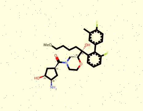 COCCCC[C@@](O)(c1cccc(F)c1-c1ccc(F)c(C)c1)[C@H]1CN(C(=O)[C@H]2C[C@@H](N)[C@@H](O)C2)CCO1